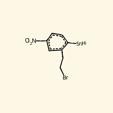 O=[N+]([O-])c1cc[c]([SnH])c(CCBr)c1